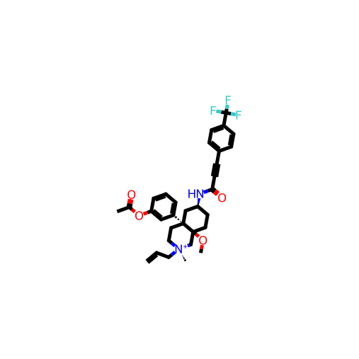 C=CC[N@@+]1(C)CC[C@@]2(c3cccc(OC(C)=O)c3)C[C@@H](NC(=O)C#Cc3ccc(C(F)(F)F)cc3)CCC2(OC)C1